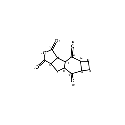 O=C1OC(=O)C2C1CC1C(=O)C3CCC3C(=O)C12